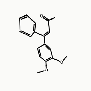 COc1ccc(/C(=C/C(C)=O)c2ccccc2)cc1OC